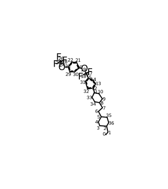 CCC1CCC(CCC2CCC(c3ccc(C(F)(F)Oc4ccc(OC(F)(F)F)cc4)cc3)CC2)CC1